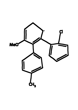 COC1=CC[CH]C(c2ccccc2Cl)=C1c1ccc(C)cc1